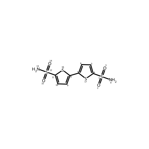 NS(=O)(=O)c1ccc(-c2ccc(S(N)(=O)=O)s2)s1